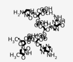 CC[C@H]1O[C@@H](n2cc(C)c(=O)[nH]c2=O)CC1OP(=O)(O)OC[C@@H](OCn1cnc2c(N)ncnc21)C(C)OP(=O)(O)OC[C@@H](OCn1cnc2c(=O)[nH]c(N)nc21)C(C)OP(=O)(O)OC[C@@H](OCn1ccc(N)nc1=O)C(C)OP(C)(=O)O